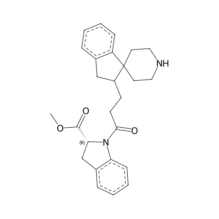 COC(=O)[C@H]1Cc2ccccc2N1C(=O)CCC1Cc2ccccc2C12CCNCC2